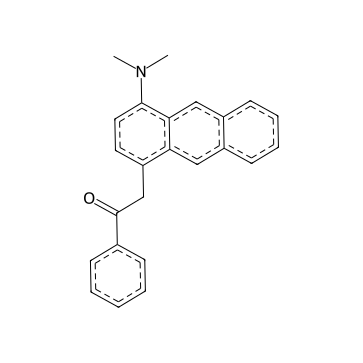 CN(C)c1ccc(CC(=O)c2ccccc2)c2cc3ccccc3cc12